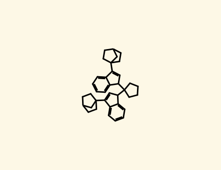 C1=C(C23CCC(CC2)C3)c2ccccc2C1C1(C2C=C(C34CCC(CC3)C4)c3ccccc32)CCCC1